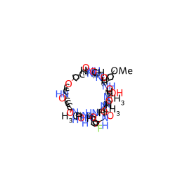 COc1ccc(C[C@@H]2NC(=O)[C@H]([C@@H](C)O)NC(=O)[C@@H]3CCC(=O)NCc4cccc(c4)C[C@H](NC(=O)[C@@H](C)NC(=O)CCCC(=O)NCCOc4ccc(cc4)C[C@@H](C(N)=O)NC(=O)[C@]4(C)CCCN4C2=O)C(=O)N[C@@H](Cc2c[nH]c4ccc(F)cc24)C(=O)N3C)cc1